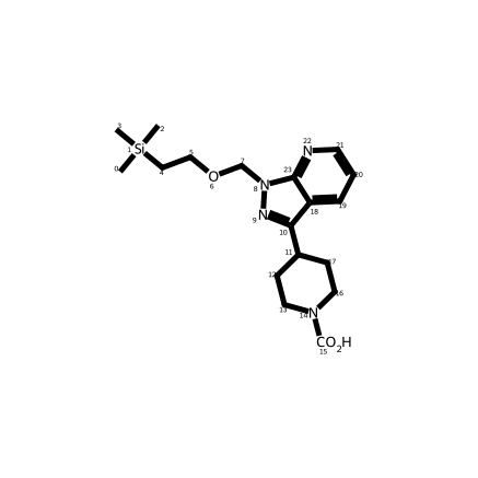 C[Si](C)(C)CCOCn1nc(C2CCN(C(=O)O)CC2)c2cccnc21